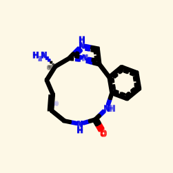 N[C@H]1C/C=C/CNC(=O)Nc2ccccc2-c2c[nH]c1n2